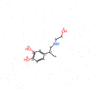 CC(CNCCO)c1ccc(O)c(O)c1